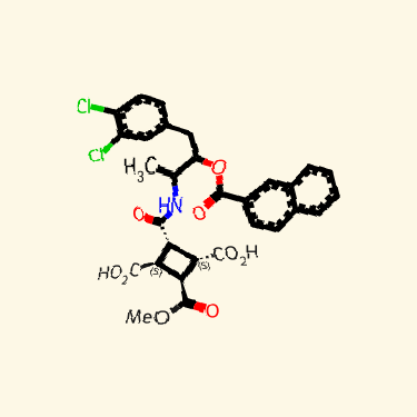 COC(=O)[C@H]1[C@@H](C(=O)O)[C@H](C(=O)NC(C)C(Cc2ccc(Cl)c(Cl)c2)OC(=O)c2ccc3ccccc3c2)[C@@H]1C(=O)O